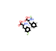 N[C@@H](Cc1cccc(F)c1)C(=O)O.O=C(O)[C@H](Cc1ccccc1)NF